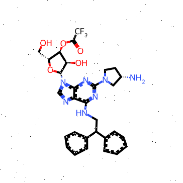 N[C@H]1CCN(c2nc(NCC(c3ccccc3)c3ccccc3)c3ncn([C@@H]4O[C@H](CO)[C@@H](OC(=O)C(F)(F)F)[C@H]4O)c3n2)C1